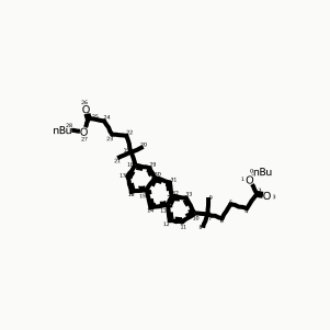 CCCCOC(=O)CCCC(C)(C)c1ccc2cc3ccc(C(C)(C)CCCC(=O)OCCCC)cc3cc2c1